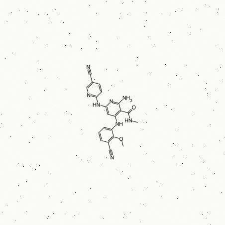 CNC(=O)c1c(Nc2cccc(C#N)c2OC)cc(Nc2ccc(C#N)cn2)nc1N